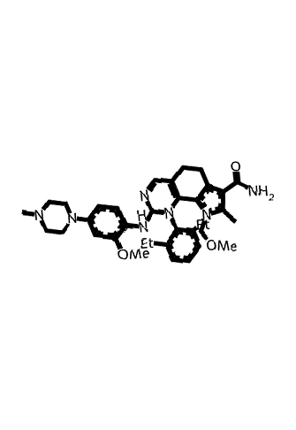 CCc1cccc(CC)c1N1C2=C(C=NC1Nc1ccc(N3CCN(C)CC3)cc1OC)CCc1c(C(N)=O)c(C)n(COC)c12